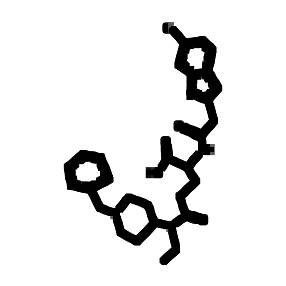 CCN(C(=O)CCC(NC(=O)Cc1cc2ccc(Cl)cc2s1)C(=O)O)C1CCN(Cc2ccccc2)CC1